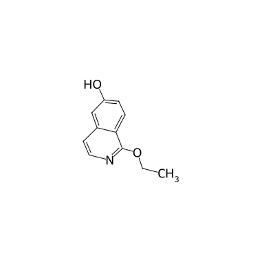 CCOc1nccc2cc(O)ccc12